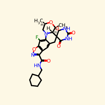 C[C@@H]1CN2c3c(cc4c(C(=O)NCC5CCCCC5)noc4c3F)CC3(C(=O)NC(=O)NC3=O)[C@H]2[C@H](C)O1